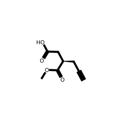 C#CC[C@H](CC(=O)O)C(=O)OC